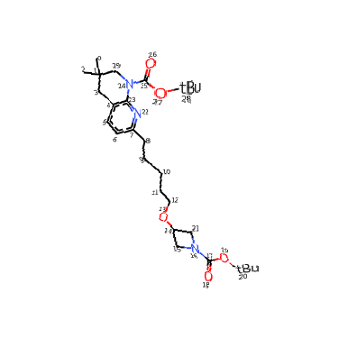 CC1(C)Cc2ccc(CCCCCOC3CN(C(=O)OC(C)(C)C)C3)nc2N(C(=O)OC(C)(C)C)C1